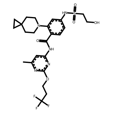 Cc1cc(NC(=O)c2ccc(NS(=O)(=O)CCO)cc2N2CCC3(CC2)CC3)nc(OCCC(F)(F)F)n1